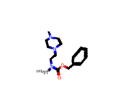 CCCCCCCN(CCN1CCN(C)CC1)C(=O)OCc1ccccc1